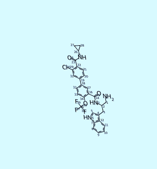 NCC(Cc1c[nH]c2ccccc12)NC(=O)c1cc(-c2ccc(C(=O)NC3CC3)c(Cl)c2)ccc1OC(F)(F)F